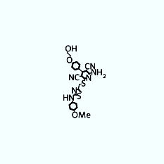 COc1ccc(Nc2nc(CSc3nc(N)c(C#N)c(-c4ccc(OCCO)cc4)c3C#N)cs2)cc1